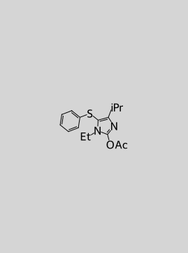 CCn1c(OC(C)=O)nc(C(C)C)c1Sc1ccccc1